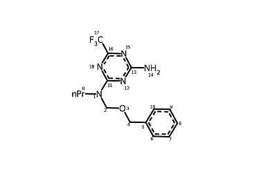 CCCN(COCc1ccccc1)c1nc(N)nc(C(F)(F)F)n1